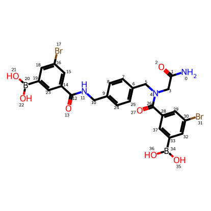 NC(=O)CN(Cc1ccc(CNC(=O)c2cc(Br)cc(B(O)O)c2)cc1)C(=O)c1cc(Br)cc(B(O)O)c1